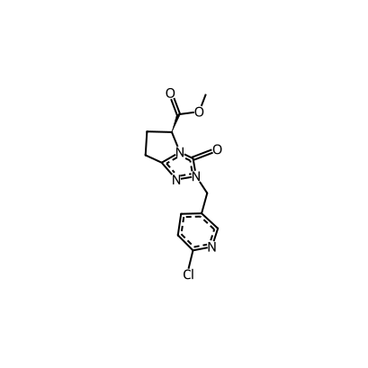 COC(=O)[C@@H]1CCc2nn(Cc3ccc(Cl)nc3)c(=O)n21